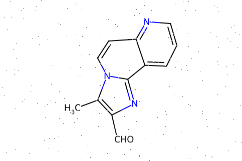 Cc1c(C=O)nc2c3cccnc3ccn12